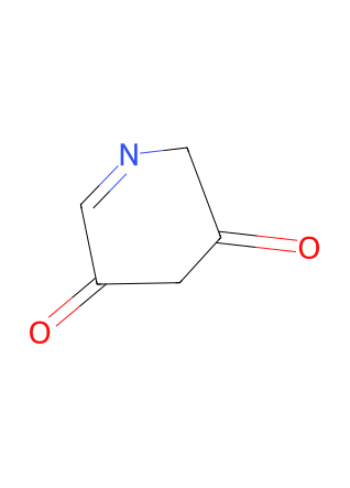 O=C1C=NCC(=O)C1